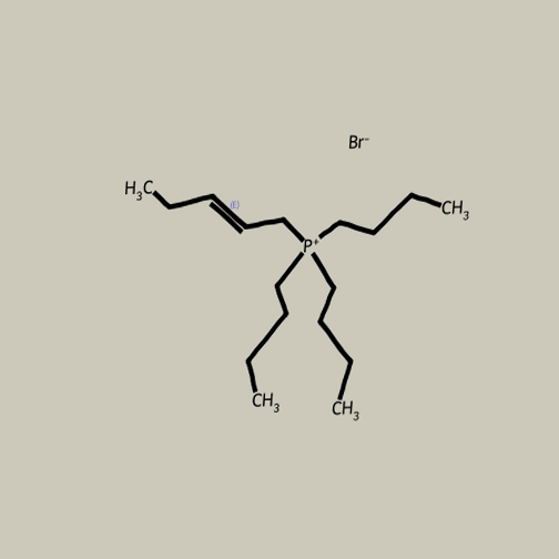 CC/C=C/C[P+](CCCC)(CCCC)CCCC.[Br-]